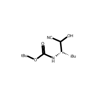 CC[C@@H](C)[C@H](NC(=O)OC(C)(C)C)C(O)C#N